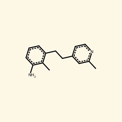 Cc1cc(CCc2cccc(N)c2C)ccn1